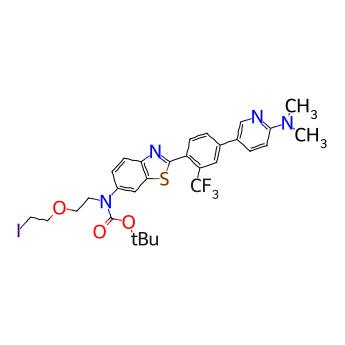 CN(C)c1ccc(-c2ccc(-c3nc4ccc(N(CCOCCI)C(=O)OC(C)(C)C)cc4s3)c(C(F)(F)F)c2)cn1